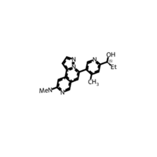 CC[C@H](O)c1cc(C)c(-c2cc3cnc(NC)cc3c3ccnn23)cn1